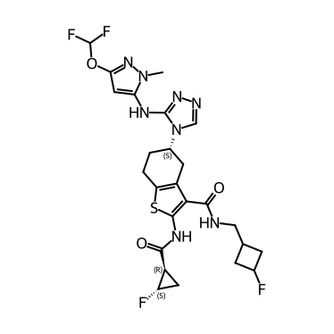 Cn1nc(OC(F)F)cc1Nc1nncn1[C@H]1CCc2sc(NC(=O)[C@H]3C[C@@H]3F)c(C(=O)NCC3CC(F)C3)c2C1